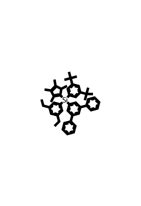 CCc1cc(CC)cc([Si](C2=C(C)C(C)=C(C)C2C)(c2cc(-c3ccccc3)cc(-c3ccccc3)c2)c2cc(C(C)(C)C)cc(C(C)(C)C)c2)c1